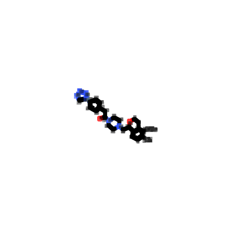 COc1c(C#N)ccc2c1CCOC2CN1CCN(C(=O)Cc2ccc(-n3cnnn3)cc2)CC1